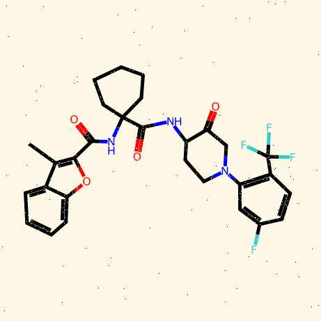 Cc1c(C(=O)NC2(C(=O)NC3CCN(c4cc(F)ccc4C(F)(F)F)CC3=O)CCCCC2)oc2ccccc12